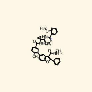 C=C(N/C(=N\N)c1ccccc1OC)C1(NC(=O)c2ccc(C)c(-c3ccc4oc(-c5ccccc5)c(C(=O)NC)c4c3)c2)CC1